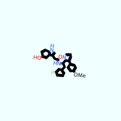 COc1ccc(-c2cccnc2C(Cc2cccc(F)c2)NC(=O)Cc2c[nH]c3ccc(O)cc23)cc1